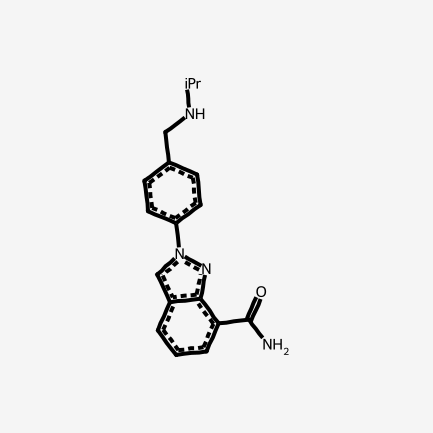 CC(C)NCc1ccc(-n2cc3cccc(C(N)=O)c3n2)cc1